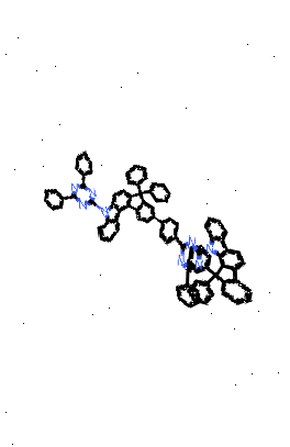 c1ccc(-c2nc(-c3ccccc3)nc(-n3c4ccccc4c4c5c(ccc43)C(c3ccccc3)(c3ccccc3)c3cc(-c4ccc(-c6nc(-c7ccccc7)nc(-n7c8ccccc8c8ccc9c(c87)C(c7ccccc7)(c7ccccc7)c7ccccc7-9)n6)cc4)ccc3-5)n2)cc1